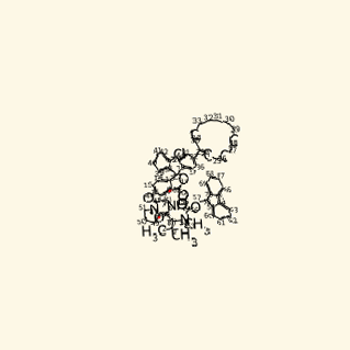 CC(C)[C@@H](C(=O)N[C@@H](CC(=O)OC(c1ccccc1)(c1ccc(C2CCCCCCCCCCCC2)cc1)c1ccccc1Cl)C(=O)N1CCCC1)N(C)C(=O)OCC1c2ccccc2-c2ccccc21